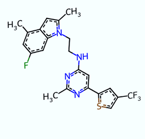 Cc1nc(NCCn2c(C)cc3c(C)cc(F)cc32)cc(-c2cc(C(F)(F)F)cs2)n1